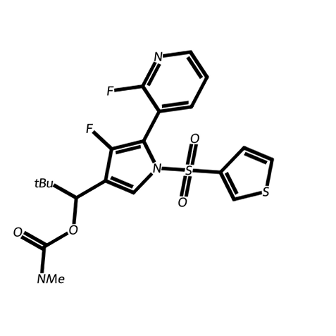 CNC(=O)OC(c1cn(S(=O)(=O)c2ccsc2)c(-c2cccnc2F)c1F)C(C)(C)C